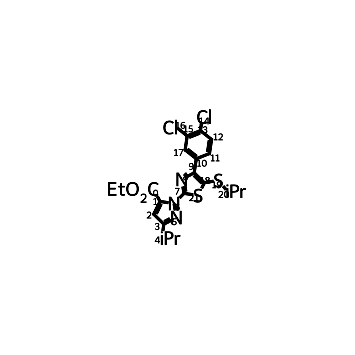 CCOC(=O)c1cc(C(C)C)nn1-c1nc(-c2ccc(Cl)c(Cl)c2)c(SC(C)C)s1